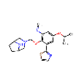 C=Nc1cc(OC(C)C)cc(-c2nccs2)c1OCN1CC2CCC(C1)N2